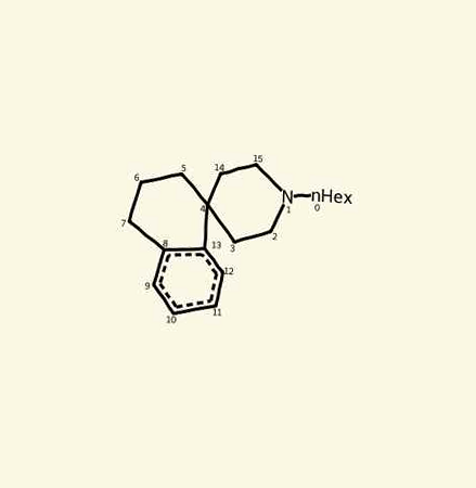 CCCCCCN1CCC2(CCCc3ccccc32)CC1